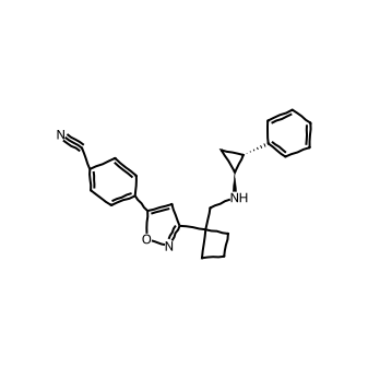 N#Cc1ccc(-c2cc(C3(CN[C@H]4C[C@@H]4c4ccccc4)CCC3)no2)cc1